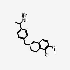 CC(C)NC(I)c1ccc(CN2CCc3c(ccc(OI)c3Cl)C2)cc1